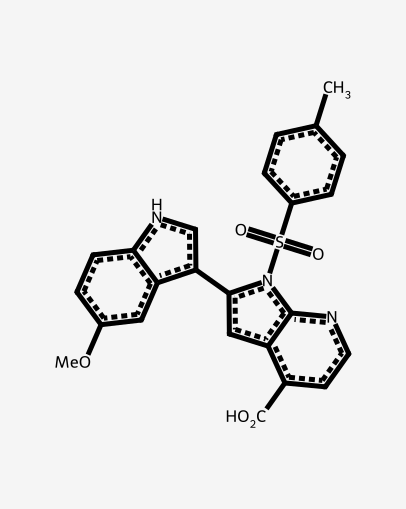 COc1ccc2[nH]cc(-c3cc4c(C(=O)O)ccnc4n3S(=O)(=O)c3ccc(C)cc3)c2c1